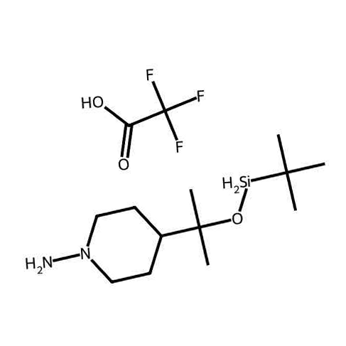 CC(C)(C)[SiH2]OC(C)(C)C1CCN(N)CC1.O=C(O)C(F)(F)F